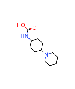 O=C(O)N[C@H]1CC[C@H](N2CCCCC2)CC1